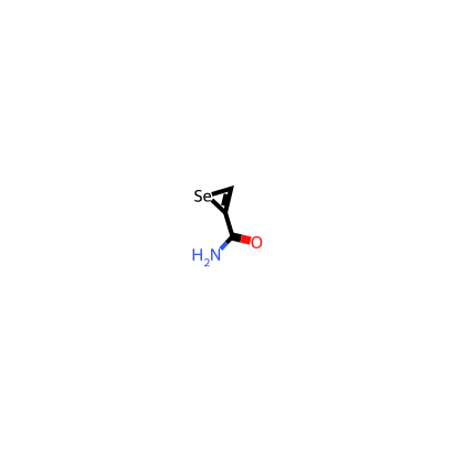 NC(=O)C1=C[Se]1